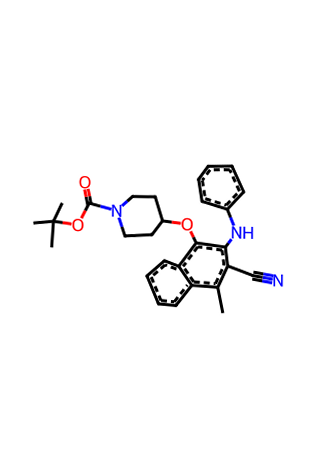 Cc1c(C#N)c(Nc2ccccc2)c(OC2CCN(C(=O)OC(C)(C)C)CC2)c2ccccc12